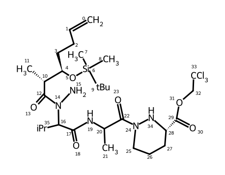 C=CCC[C@@H](O[Si](C)(C)C(C)(C)C)[C@@H](C)C(=O)N(N)C(C(=O)NC(C)C(=O)N1CCC[C@@H](C(=O)OCC(Cl)(Cl)Cl)N1)C(C)C